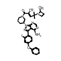 CC(C)(C=C(C#N)C(=O)N1CCC[C@@H](n2nc(-c3ccc(Oc4ccccc4)cc3F)c3c(N)ncnc32)C1)N1CCC1O